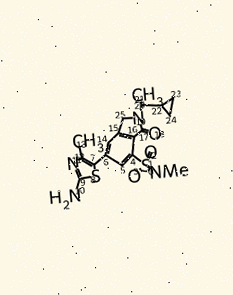 CNS(=O)(=O)c1cc(-c2sc(N)nc2C)cc2c1C(=O)N([C@@H](C)C1CC1)C2